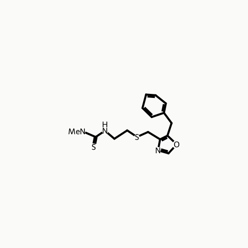 CNC(=S)NCCSCc1ncoc1Cc1ccccc1